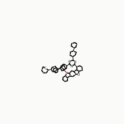 c1ccc(-c2ccc(-c3cccc(-n4c5ccccc5c5cc6oc7cccc(-c8nc(-c9ccc(-c%10ccccc%10)cc9)nc(-c9ccc(-c%10ccccc%10)cc9)n8)c7c6cc54)c3)cc2)cc1